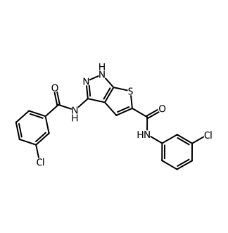 O=C(Nc1n[nH]c2sc(C(=O)Nc3cccc(Cl)c3)cc12)c1cccc(Cl)c1